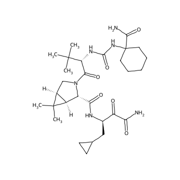 CC(C)(C)[C@H](NC(=O)NC1(C(N)=O)CCCCC1)C(=O)N1C[C@H]2[C@@H]([C@H]1C(=O)N[C@H](CC1CC1)C(=O)C(N)=O)C2(C)C